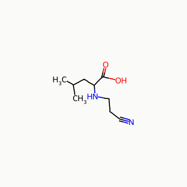 CC(C)CC(NCCC#N)C(=O)O